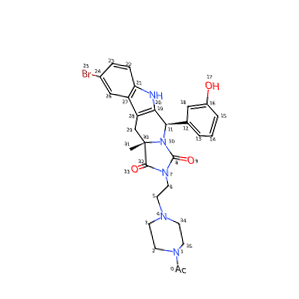 CC(=O)N1CCN(CCN2C(=O)N3[C@H](c4cccc(O)c4)c4[nH]c5ccc(Br)cc5c4C[C@@]3(C)C2=O)CC1